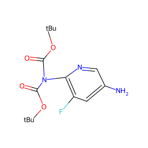 CC(C)(C)OC(=O)N(C(=O)OC(C)(C)C)c1ncc(N)cc1F